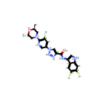 C[C@H]1CN(c2ncc(-n3cc(C(=O)Nc4c[nH]c5cc(F)c(F)cc45)nn3)cc2F)C[C@H](C)O1